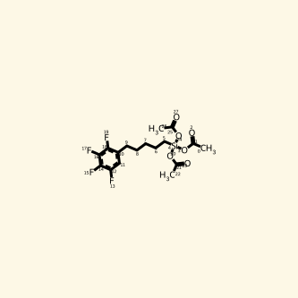 CC(=O)O[Si](CCCCCc1cc(F)c(F)c(F)c1F)(OC(C)=O)OC(C)=O